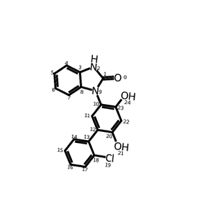 O=c1[nH]c2ccccc2n1-c1cc(-c2ccccc2Cl)c(O)cc1O